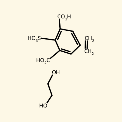 C=C.O=C(O)c1cccc(C(=O)O)c1S(=O)(=O)O.OCCO